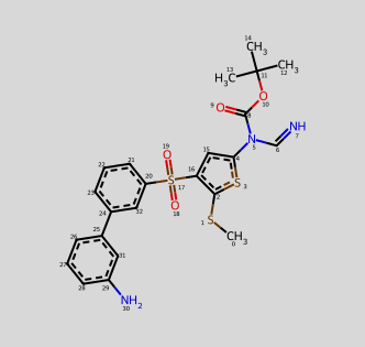 CSc1sc(N(C=N)C(=O)OC(C)(C)C)cc1S(=O)(=O)c1cccc(-c2cccc(N)c2)c1